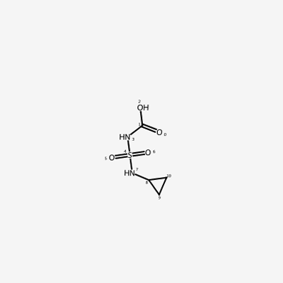 O=C(O)NS(=O)(=O)NC1CC1